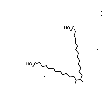 CC(CCCCCCCCCCCCCC(=O)O)C(C)CCCCCCCCCCCC(=O)O